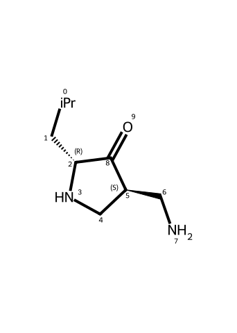 CC(C)C[C@H]1NC[C@H](CN)C1=O